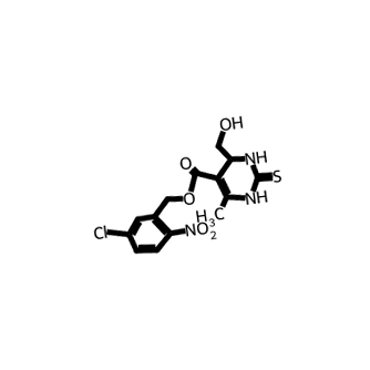 CC1=C(C(=O)OCc2cc(Cl)ccc2[N+](=O)[O-])C(CO)NC(=S)N1